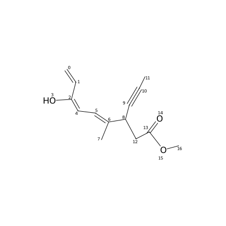 C=C/C(O)=C\C=C(/C)C(C#CC)CC(=O)OC